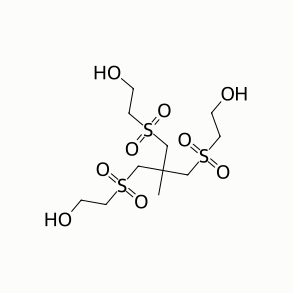 CC(CS(=O)(=O)CCO)(CS(=O)(=O)CCO)CS(=O)(=O)CCO